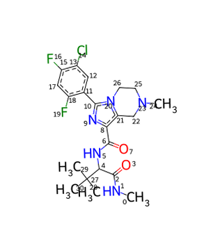 CNC(=O)C(NC(=O)c1nc(-c2cc(Cl)c(F)cc2F)n2c1CN(C)CC2)C(C)(C)C